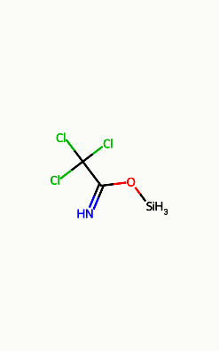 N=C(O[SiH3])C(Cl)(Cl)Cl